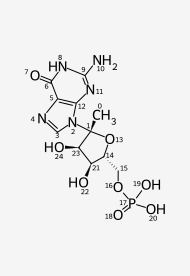 C[C@@]1(n2cnc3c(=O)[nH]c(N)nc32)O[C@H](COP(=O)(O)O)[C@@H](O)[C@H]1O